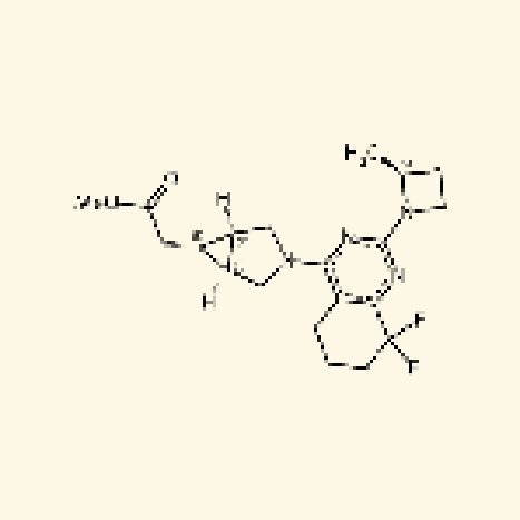 COC(=O)C[C@@H]1[C@H]2CN(c3nc(N4CC[C@@H]4C)nc4c3CCCC4(F)F)C[C@@H]12